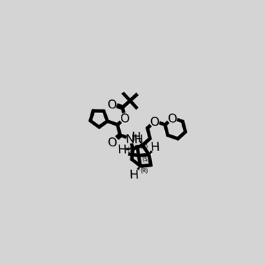 CC(C)(C)C(=O)OC(C(=O)N[C@H]1C[C@H]2C[C@@H]([C@@H]1CCOC1CCCCO1)C2(C)C)C1CCCC1